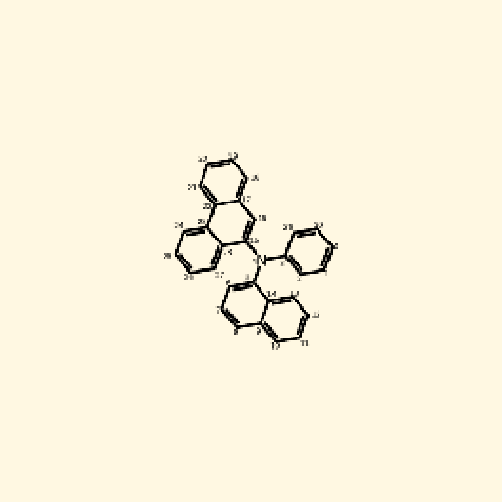 c1ccc(N(c2cccc3ccccc23)c2cc3ccccc3c3ccccc23)cc1